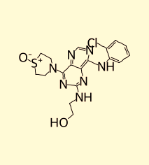 [O-][S+]1CCN(c2nc(NCCO)nc3c(Nc4ccccc4Cl)ncnc23)CC1